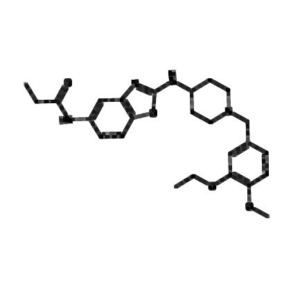 CCOc1cc(CN2CCC(Nc3nc4cc(NC(=O)CC)ccc4o3)CC2)ccc1OC